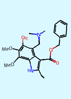 COc1c(O)c(CN(C)C)c2c(C(=O)OCc3ccccc3)c(C)[nH]c2c1OC